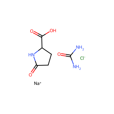 NC(N)=O.O=C1CCC(C(=O)O)N1.[Cl-].[Na+]